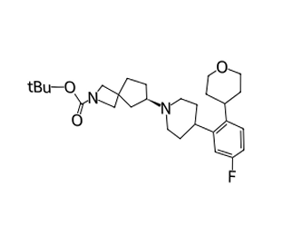 CC(C)(C)OC(=O)N1CC2(CC[C@@H](N3CCC(c4cc(F)ccc4C4CCOCC4)CC3)C2)C1